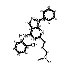 CN(C)CCCc1nc(Nc2ccccc2Cl)c2cnn(-c3ccccc3)c2n1